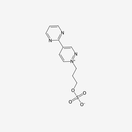 O=S(=O)([O-])OCCC[n+]1ccc(-c2ncccn2)cn1